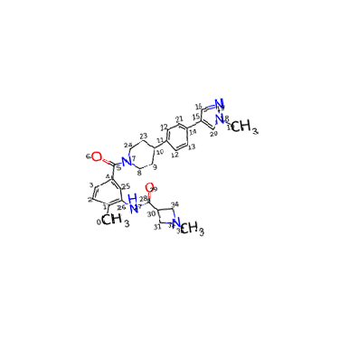 Cc1ccc(C(=O)N2CCC(c3ccc(-c4cnn(C)c4)cc3)CC2)cc1NC(=O)C1CN(C)C1